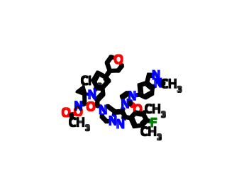 CC(=O)O/N=C/[C@]1(n2c(C(=O)N3CCn4nc(-c5cc(C)c(F)c(C)c5)c(-n5ccn(-c6ccc7c(cnn7C)c6)c5=O)c4C3)cc3cc(C4CCOCC4)ccc32)C[C@@H]1C